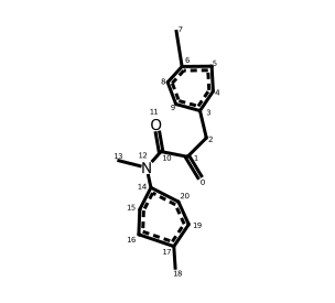 C=C(Cc1ccc(C)cc1)C(=O)N(C)c1ccc(C)cc1